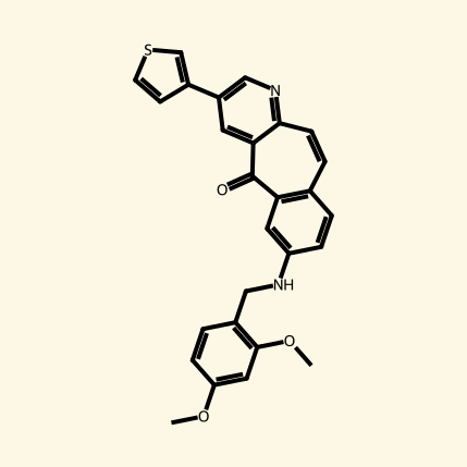 COc1ccc(CNc2ccc3ccc4ncc(-c5ccsc5)cc4c(=O)c3c2)c(OC)c1